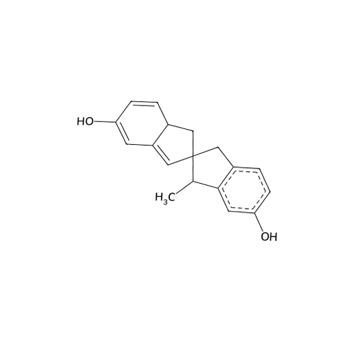 CC1c2cc(O)ccc2CC12C=C1C=C(O)C=CC1C2